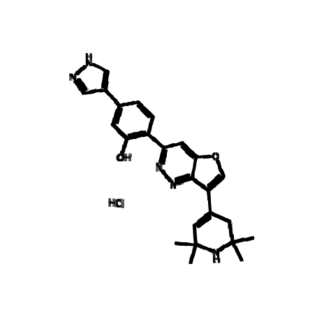 CC1(C)C=C(c2coc3cc(-c4ccc(-c5cn[nH]c5)cc4O)nnc23)CC(C)(C)N1.Cl